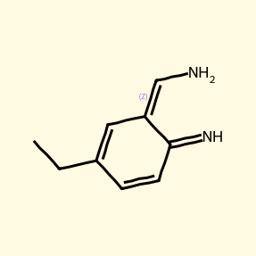 CCC1=C/C(=C/N)C(=N)C=C1